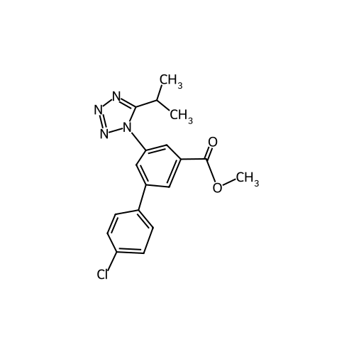 COC(=O)c1cc(-c2ccc(Cl)cc2)cc(-n2nnnc2C(C)C)c1